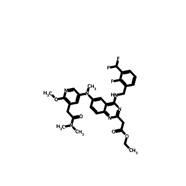 CCOC(=O)Cc1nc(NCc2cccc(C(F)F)c2F)c2cc(N(C)c3cnc(OC)c(CC(=O)N(C)C)c3)ccc2n1